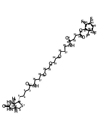 O=C(CCCC[C@@H]1SC[C@@H]2NC(=O)N[C@@H]21)NCCCOCCOCCOCCCNC(=O)CCC(=O)Oc1c(F)c(F)cc(F)c1F